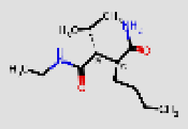 CCCC[C@H](C(N)=O)[C@H](C(=O)NCC)C(C)C